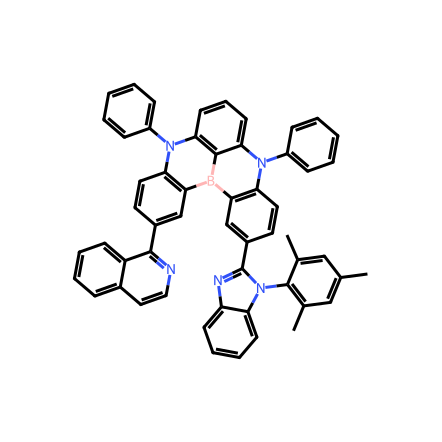 Cc1cc(C)c(-n2c(-c3ccc4c(c3)B3c5cc(-c6nccc7ccccc67)ccc5N(c5ccccc5)c5cccc(c53)N4c3ccccc3)nc3ccccc32)c(C)c1